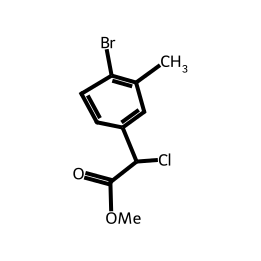 COC(=O)C(Cl)c1ccc(Br)c(C)c1